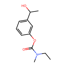 CCN(C)C(=O)Oc1cccc(C(C)O)c1